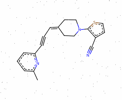 Cc1cccc(C#CC=C2CCN(c3sccc3C#N)CC2)n1